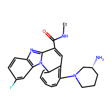 CCNC(=O)c1cc2/c(n3c1nc1ccc(F)cc13)=C/C=C/C=C\C=2N1CCC[C@@H](N)C1